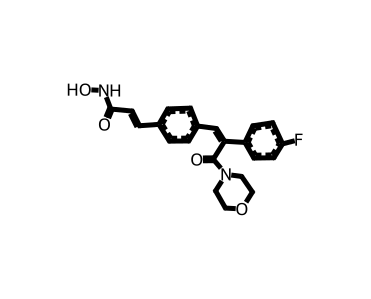 O=C(/C=C/c1ccc(/C=C(\C(=O)N2CCOCC2)c2ccc(F)cc2)cc1)NO